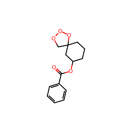 O=C(OC1CCCC2(COOO2)C1)c1ccccc1